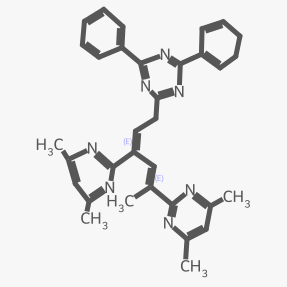 C/C(=C\C(=C/Cc1nc(C2=CCCC=C2)nc(-c2ccccc2)n1)c1nc(C)cc(C)n1)c1nc(C)cc(C)n1